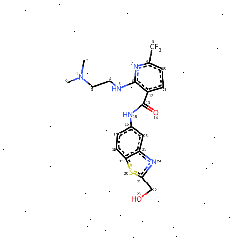 CN(C)CCNc1nc(C(F)(F)F)ccc1C(=O)Nc1ccc2sc(CO)nc2c1